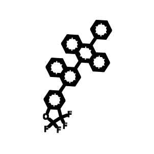 FC1(F)Oc2ccc(-c3ccc(-c4c5ccccc5c(-c5ccccc5)c5ccccc45)c4ccccc34)cc2C1(F)F